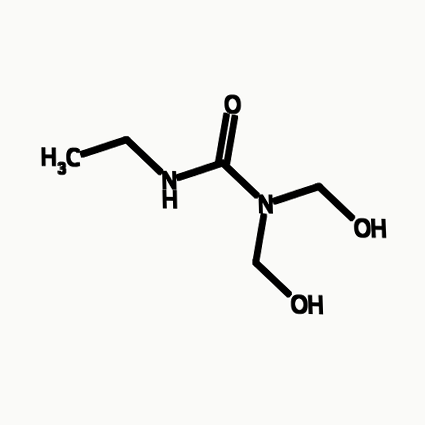 CCNC(=O)N(CO)CO